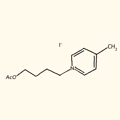 CC(=O)OCCCC[n+]1ccc(C)cc1.[I-]